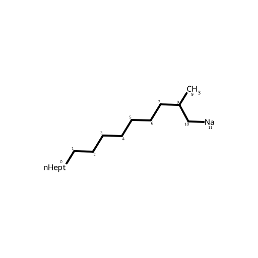 CCCCCCCCCCCCCCC(C)[CH2][Na]